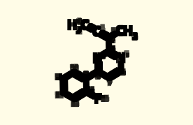 C=C=C(C)c1nccc(-c2ccccc2F)n1